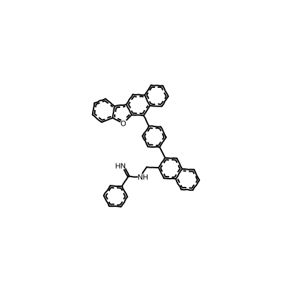 N=C(NCc1cc2ccccc2cc1-c1ccc(-c2c3ccccc3cc3c2oc2ccccc23)cc1)c1ccccc1